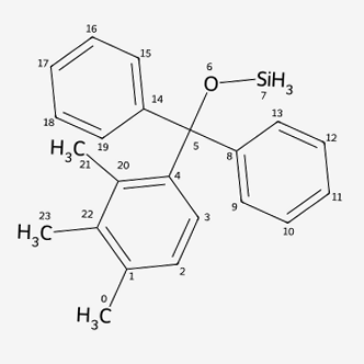 Cc1ccc(C(O[SiH3])(c2ccccc2)c2ccccc2)c(C)c1C